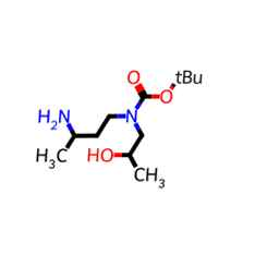 CC(N)CCN(CC(C)O)C(=O)OC(C)(C)C